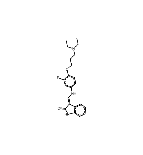 CCN(CC)CCCOc1ccc(N/C=C2/C(=O)Nc3ccccc32)cc1F